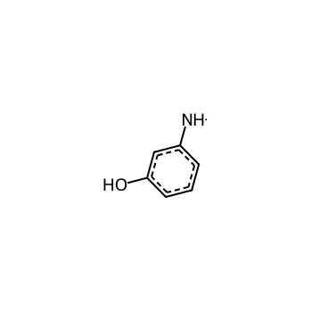 [NH]c1cccc(O)c1